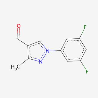 Cc1nn(-c2cc(F)cc(F)c2)cc1C=O